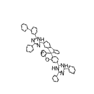 c1ccc(C2=NC(c3ccc4c(c3)C3(c5ccccc5Oc5cc(C6NC(c7ccccc7)=NC(c7ccccc7)N6)ccc53)c3ccccc3-4)NC(c3cccc(-c4ccccc4)c3)=N2)cc1